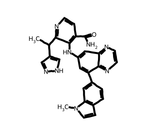 CC(c1cn[nH]c1)c1nccc(C(N)=O)c1Nc1cc(-c2ccc3ccn(C)c3c2)c2nccnc2c1